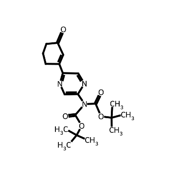 CC(C)(C)OC(=O)N(C(=O)OC(C)(C)C)c1cnc(C2=CC(=O)CCC2)cn1